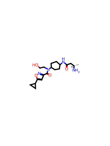 C[C@H](N)CC(=O)NC1CCC(N(CCO)C(=O)c2cc(C3CC3)on2)CC1